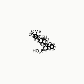 COC(=O)c1ccc(C2=CCC3(C)CN(C(=O)C4(c5ccccc5)CCN(C(=O)O)CC4)CC=C3C2(C)C)cc1